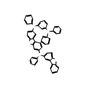 c1ccc(N(c2ccccc2)c2cccc(N(c3ccccc3)c3ccc4oc5cc(N(c6ccccc6)c6ccc7sc8ccccc8c7c6)ccc5c4c3)c2)cc1